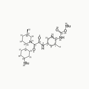 Cc1cc(NC(=O)C(=O)N2C[C@H](C)CC[C@H]2C2CCC(C(C)(C)C)CC2)cnc1NC(=O)OC(C)(C)C